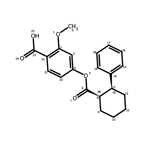 COc1cc(OC(=O)[C@@H]2CCCC[C@@H]2c2ccccc2)ccc1C(=O)O